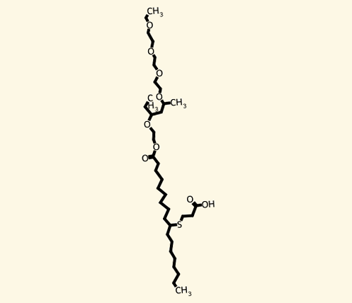 CCCCCCCCC(CCCCCCCCC(=O)OCCOC(CC)CC(C)OCCOCCOCCOCC)SCCC(=O)O